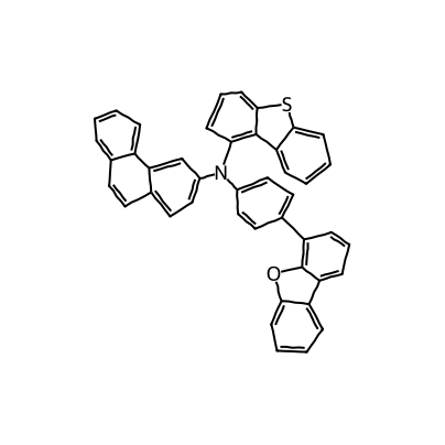 c1ccc2c(c1)ccc1ccc(N(c3ccc(-c4cccc5c4oc4ccccc45)cc3)c3cccc4sc5ccccc5c34)cc12